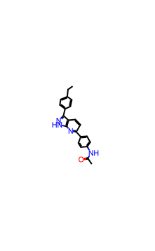 CCc1ccc(-c2n[nH]c3nc(-c4ccc(NC(C)=O)cc4)ccc23)cc1